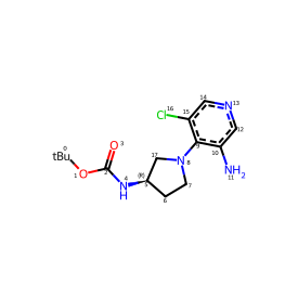 CC(C)(C)OC(=O)N[C@@H]1CCN(c2c(N)cncc2Cl)C1